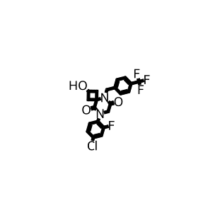 O=C1CN(c2ccc(Cl)cc2F)C(=O)C2(CC(O)C2)N1Cc1ccc(C(F)(F)F)cc1